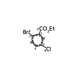 CCOC(=O)c1cc(Cl)ccc1Br